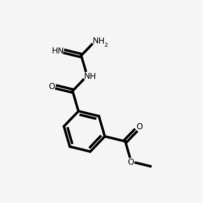 COC(=O)c1cccc(C(=O)NC(=N)N)c1